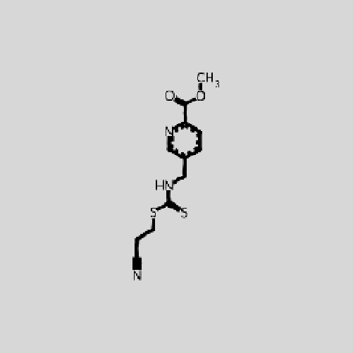 COC(=O)c1ccc(CNC(=S)SCCC#N)cn1